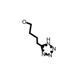 [O]CCCCc1nnn[nH]1